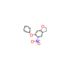 O=[N+]([O-])c1cc2c(cc1Oc1ccccc1)OCC2